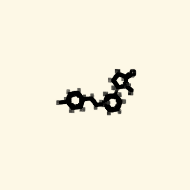 Cc1ccc(CC[n+]2cccc([C@@H]3CCC(=O)N3C)c2)cc1